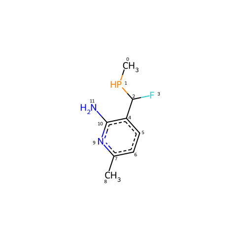 CPC(F)c1ccc(C)nc1N